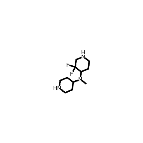 CN(C1CCNCC1)C1CCNCC1(F)F